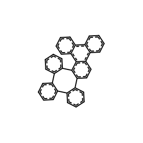 c1ccc2c(c1)-c1ccccc1-c1ccc3c4ccccc4c4ccccc4c3c1-c1ccccc1-2